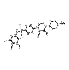 CCCC1CCC(c2ccc(-c3ccc(C(F)(F)Oc4cc(F)c(F)c(F)c4)cc3)c(Cl)c2F)CC1